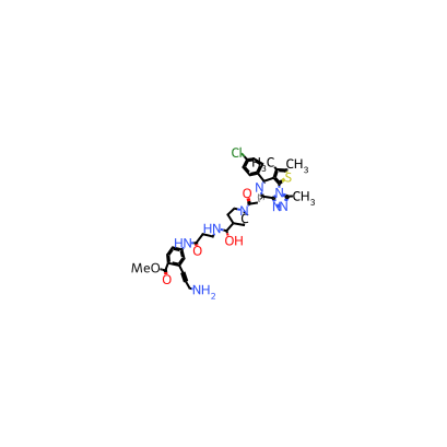 COC(=O)c1ccc(NC(=O)CCNC(O)C2CCN(C(=O)C[C@@H]3N=C(c4ccc(Cl)cc4)c4c(sc(C)c4C)-n4c(C)nnc43)CC2)cc1C#CCN